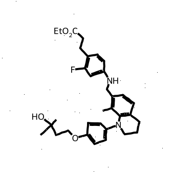 CCOC(=O)CCc1ccc(NCc2ccc3c(c2C)N(c2ccc(OCCC(C)(C)O)cc2)CCC3)cc1F